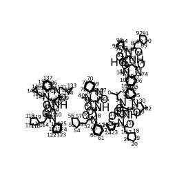 CC(C)CN1C(=O)C(NC(C(=O)O)N(C(=O)CC2CCCC2)c2cccs2)C(=O)N(CC(C)C)c2ccccc21.CN1C(=O)C(NC(=O)CN(C(=O)CC2CCCC2)c2ccccc2)C(=O)N(C)c2ccccc21.CN1C(=O)C(NC(C(=O)O)N(C(=O)CC2CCCC2)c2cccs2)C(=O)N(C)c2ccccc21.O=C(CN(C(=O)CC1CCCC1)c1ccccc1)NC1C(=O)N(CC2CC2)c2ccccc2N(CC2CC2)C1=O